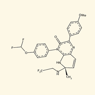 COc1ccc(-c2nc3c(n(-c4ccc(OC(F)F)cc4)c2=O)N[C@@](C)(NCC(F)(F)F)C=C3)cc1